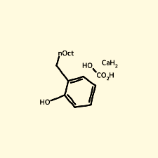 CCCCCCCCCc1ccccc1O.O=C(O)O.[CaH2]